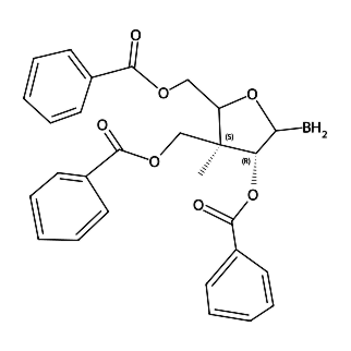 BC1OC(COC(=O)c2ccccc2)[C@](C)(COC(=O)c2ccccc2)[C@H]1OC(=O)c1ccccc1